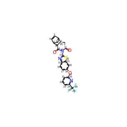 C[C@@H]1C2C=CC(C2)[C@@H]1C(=O)N(C=O)c1nc2ccc(Oc3cccc(C(F)(F)F)n3)cc2s1